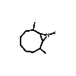 CC1CCCCCC(C)C2C1N2I